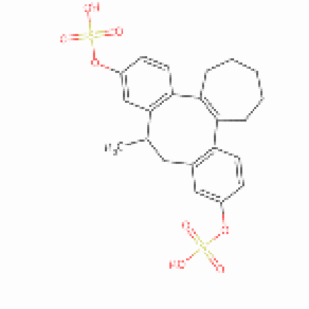 CC1Cc2cc(OS(=O)(=O)O)ccc2C2=C(CCCCC2)c2ccc(OS(=O)(=O)O)cc21